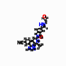 C[C@@H](NCC1COC1)c1ccc2c(c1)C(=O)N(c1cc(-c3ccc(C#N)cc3-c3nncn3C)cc(C3CC3)n1)C2